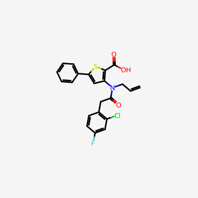 C=CCN(C(=O)Cc1ccc(F)cc1Cl)c1cc(-c2ccccc2)sc1C(=O)O